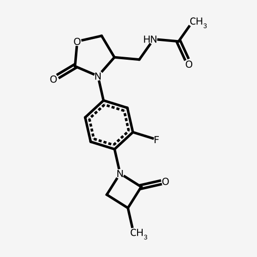 CC(=O)NCC1COC(=O)N1c1ccc(N2CC(C)C2=O)c(F)c1